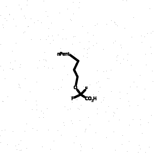 CCCCCCCCOC(F)(F)C(=O)O